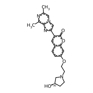 Cc1cn2cc(-c3cc4ccc(OCCN5CC[C@@H](O)C5)cc4oc3=O)nc2c(C)n1